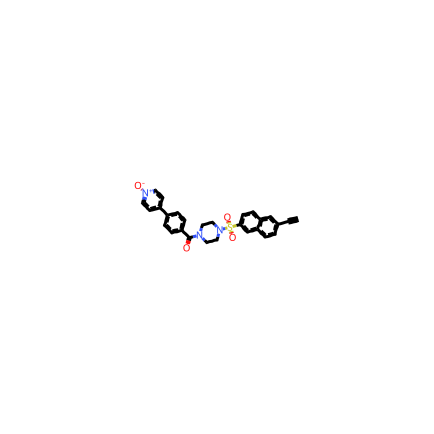 C#Cc1ccc2cc(S(=O)(=O)N3CCN(C(=O)c4ccc(-c5cc[n+]([O-])cc5)cc4)CC3)ccc2c1